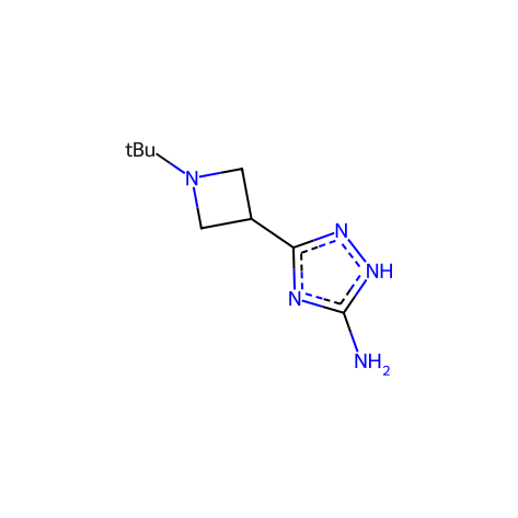 CC(C)(C)N1CC(c2n[nH]c(N)n2)C1